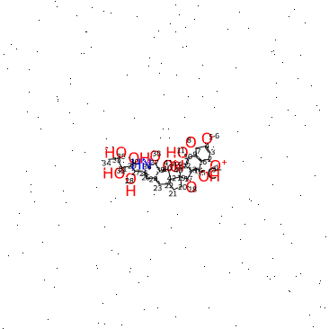 [CH2-]/[O+]=C1/C=C(OC)C(=O)c2c(O)c3c(c(O)c21)C(=O)C1(CCc2cc4cc(C(O)C(O)C(O)C(C)O)[nH]c(=O)c4c(O)c21)C3=O